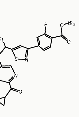 CCC(Oc1ccc(C(=O)C2CC2)nc1)c1cc(-c2ccc(C(=O)OC(C)(C)C)c(F)c2)ns1